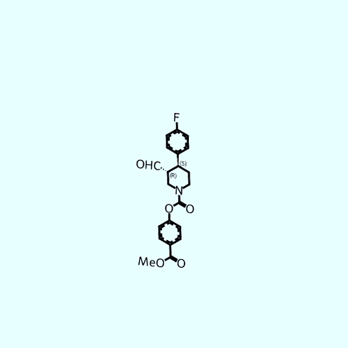 COC(=O)c1ccc(OC(=O)N2CC[C@H](c3ccc(F)cc3)[C@@H](C=O)C2)cc1